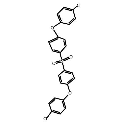 O=S(=O)(c1ccc(Oc2ccc(Cl)cc2)cc1)c1ccc(Oc2ccc(Cl)cc2)cc1